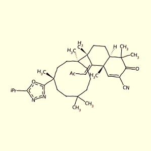 CC(=O)/C=C1/[C@@]2(C)C=C(C#N)C(=O)C(C)(C)[C@@H]2CC[C@@]1(C)[C@@]1(C)CCCC(C)(C)CC[C@](C)(c2nnc(C(C)C)o2)CC1